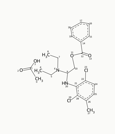 CC(=O)O.CCN(CC)C(COC(=O)c1ccccc1)Nc1c(Cl)ccc(C)c1Cl